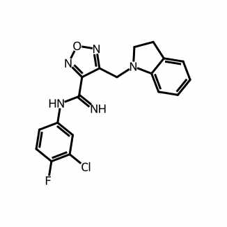 N=C(Nc1ccc(F)c(Cl)c1)c1nonc1CN1CCc2ccccc21